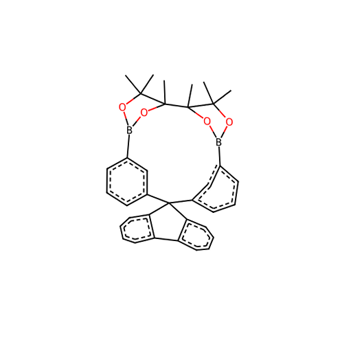 CC1(C)OB2OC1(C)C1(C)OB(OC1(C)C)c1cccc(c1)C1(c3cccc2c3)c2ccccc2-c2ccccc21